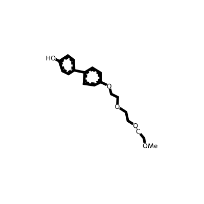 COCCOCCOCCOc1ccc(-c2ccc(O)cc2)cc1